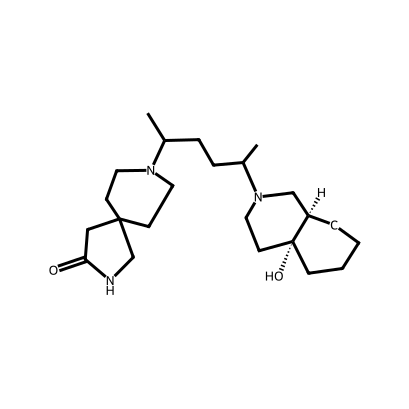 CC(CCC(C)N1CC[C@]2(O)CCCC[C@@H]2C1)N1CCC2(CC1)CNC(=O)C2